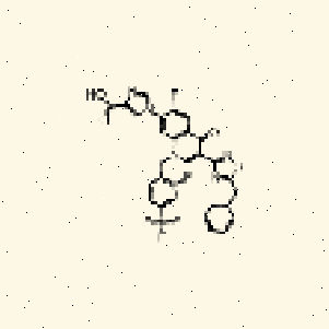 O=C(O)c1cn(-c2cc3c(cc2F)c(=O)c(-c2noc(Cc4ccccc4)n2)cn3Cc2ccc(C(F)(F)F)cc2F)cn1